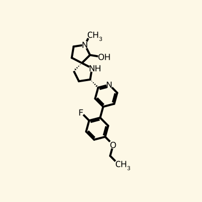 CCOc1ccc(F)c(-c2ccnc([C@@H]3CC[C@@]4(CCN(C)C4O)N3)c2)c1